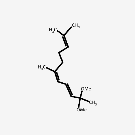 COC(C)(C=CC=C(C)CCC=C(C)C)OC